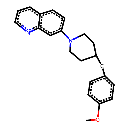 COc1ccc(CC2CCN(c3c[c]c4cccnc4c3)CC2)cc1